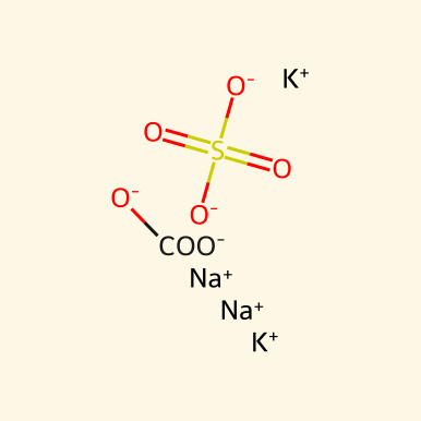 O=C([O-])[O-].O=S(=O)([O-])[O-].[K+].[K+].[Na+].[Na+]